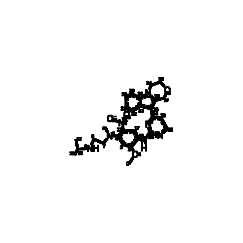 COc1cc(N(C)CCNC(C)C)c([N+](=O)[O-])cc1Nc1nccc(-c2c3n(c4ccccc24)CCOC3)n1